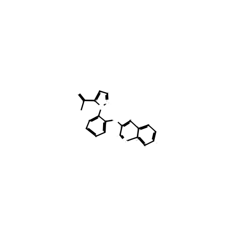 C=C(C)c1ccnn1-c1ccccc1Oc1cnc2ccccc2c1